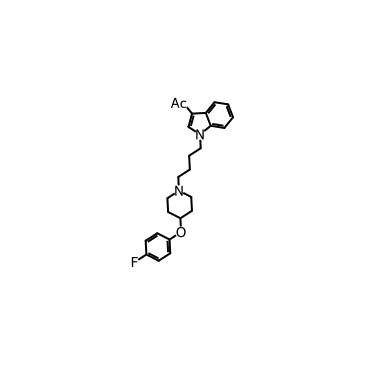 CC(=O)c1cn(CCCCN2CCC(Oc3ccc(F)cc3)CC2)c2ccccc12